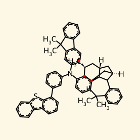 C[C@H]1C[C@@H]2C[C@@H]3C[C@H](C1)C21c2cc(N(c4cccc(-c5cccc6c5sc5ccccc56)c4)c4ccc5c(c4)C(C)(C)c4ccccc4-5)ccc2C(C)(C)c2ccccc2C31